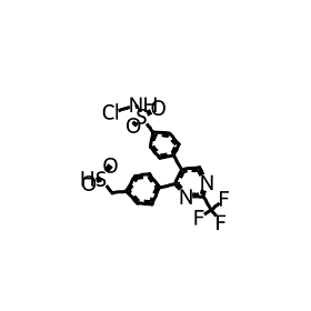 O=[SH](=O)Cc1ccc(-c2nc(C(F)(F)F)ncc2-c2ccc(S(=O)(=O)NCl)cc2)cc1